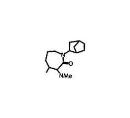 CNC1C(=O)N(C2CC3CCC2C3)CCCC1C